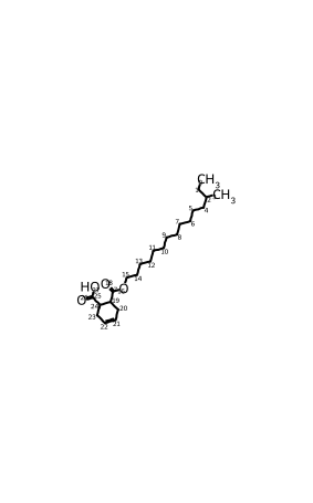 CCC(C)CCCCCCCCCCCCOC(=O)C1CC=CCC1C(=O)O